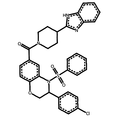 O=C(c1ccc2c(c1)N(S(=O)(=O)c1ccccc1)C(c1ccc(Cl)cc1)CO2)N1CCC(c2nc3ccccc3[nH]2)CC1